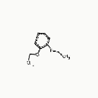 [CH2]COc1ccccc1OC[CH2]